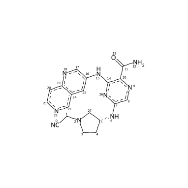 N#CCN1CC[C@@H](Nc2cnc(C(N)=O)c(Nc3cnc4ccncc4c3)n2)C1